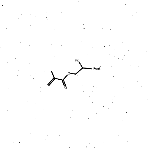 C=C(C)C(=O)OCC(CCCCC)C(C)C